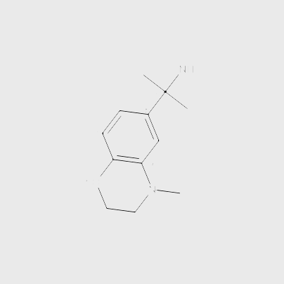 CN1CCOc2ccc(C(C)(C)N)cc21